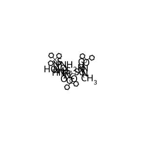 Cc1cc(SCC2=C(C(=O)OC(c3ccccc3)c3ccccc3)N3C(=O)[C@@H](NC(=O)C(=NO)c4nc(C(c5ccccc5)(c5ccccc5)c5ccccc5)sc4N)[C@H]3SC2)n2nc(C(=O)OC(c3ccccc3)c3ccccc3)nc2n1